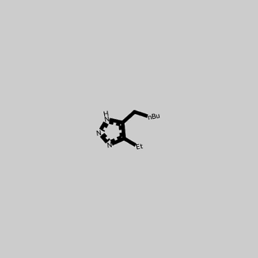 CCCCCc1[nH]nnc1CC